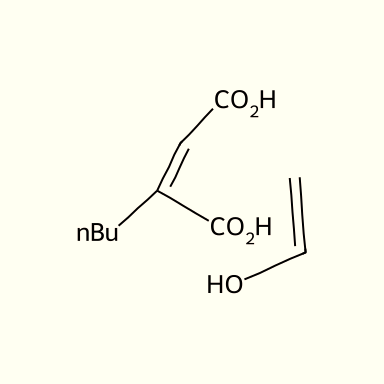 C=CO.CCCC/C(=C/C(=O)O)C(=O)O